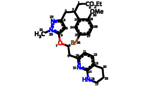 CCOC(=O)CC(Cc1cc(OCCc2ccc3c(n2)NCCC3)n(C)n1)c1cc(Br)ccc1OC